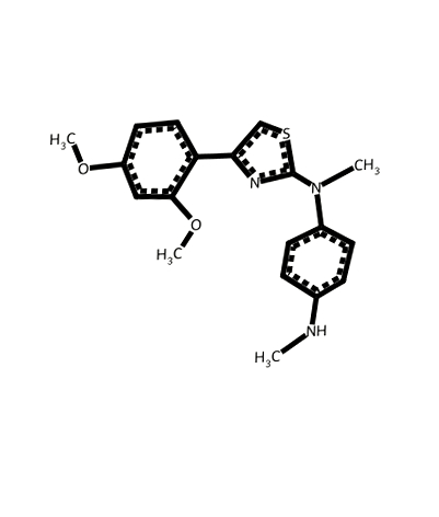 CNc1ccc(N(C)c2nc(-c3ccc(OC)cc3OC)cs2)cc1